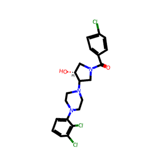 O=C(c1ccc(Cl)cc1)N1CC(N2CCN(c3cccc(Cl)c3Cl)CC2)[C@H](O)C1